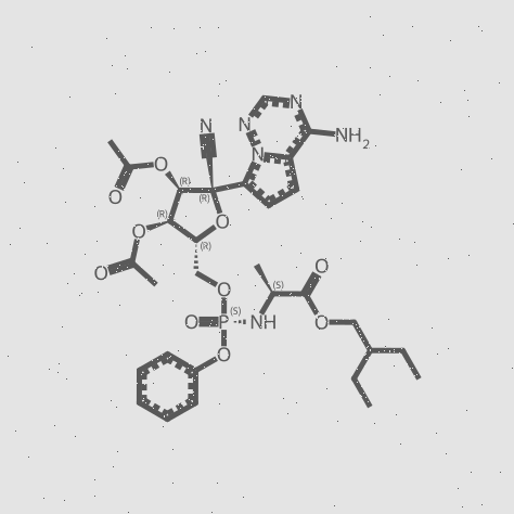 CCC(CC)COC(=O)[C@H](C)N[P@](=O)(OC[C@H]1O[C@@](C#N)(c2ccc3c(N)ncnn23)[C@H](OC(C)=O)[C@@H]1OC(C)=O)Oc1ccccc1